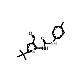 Cc1ccc(NC(=O)Nc2sc(C(C)(C)C)cc2C=O)cc1